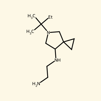 CCC(C)(C)N1CC(NCCN)C2(CC2)C1